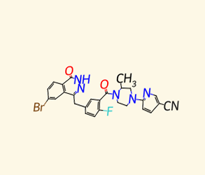 CC1CN(c2ccc(C#N)cn2)CCN1C(=O)c1cc(Cc2n[nH]c(=O)c3ccc(Br)cc23)ccc1F